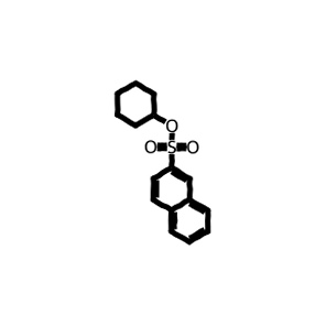 O=S(=O)(OC1CCCCC1)c1ccc2ccccc2c1